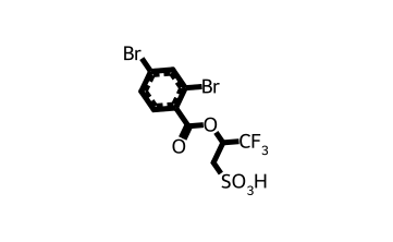 O=C(OC(CS(=O)(=O)O)C(F)(F)F)c1ccc(Br)cc1Br